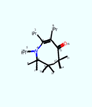 CC(C)C1=C(C(C)C)N(C(C)C)C(C)(C)C(C)(C)C(C)(C)C1=O